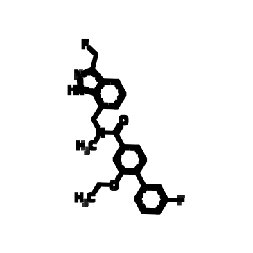 CCOc1cc(C(=O)N(C)Cc2cccc3c(CF)n[nH]c23)ccc1-c1cccc(F)c1